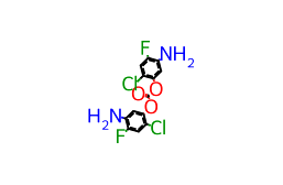 Nc1cc(OC(=O)Oc2cc(N)c(F)cc2Cl)c(Cl)cc1F